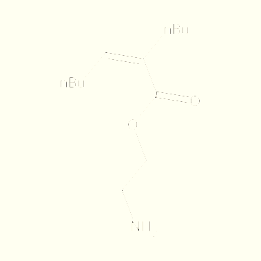 CCCCC=C(CCCC)C(=O)OCCN